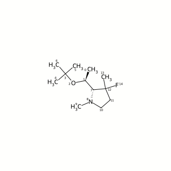 C[C@H](OC(C)(C)C)[C@H]1N(C)CCC1(C)F